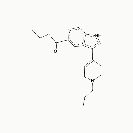 CCCC(=O)c1ccc2[nH]cc(C3=CCN(CCC)CC3)c2c1